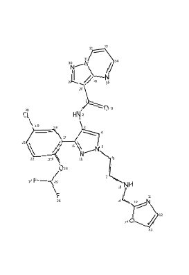 O=C(Nc1cn(CCNCc2ncco2)nc1-c1cc(Cl)ccc1OC(F)F)c1cnn2cccnc12